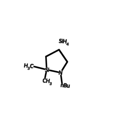 CCCCN1CCC[Si]1(C)C.[SiH4]